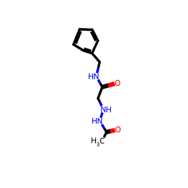 CC(=O)NNCC(=O)NCc1ccccc1